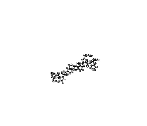 CC[C@H](C)[C@H](NC(=O)OC)C(=O)N1C[C@@H](C)CC1c1ncc(-c2ccc3c(c2)COc2cc4c(ccc5nc([C@@H]6C[C@H](COC)CN6C(=O)C(NC(=O)OC)c6ccccc6)[nH]c54)cc2-3)[nH]1